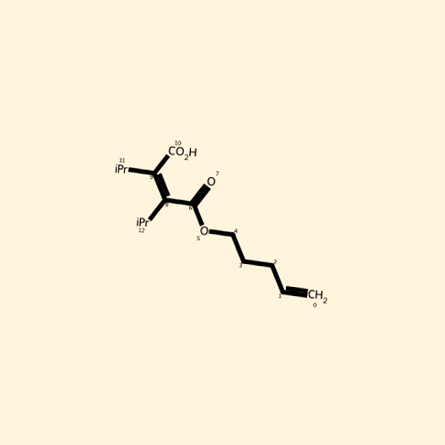 C=CCCCOC(=O)/C(=C(\C(=O)O)C(C)C)C(C)C